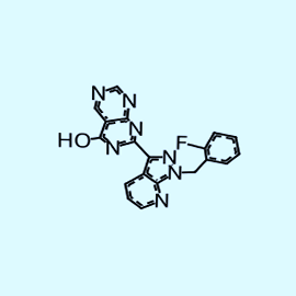 Oc1nc(-c2nn(Cc3ccccc3F)c3ncccc23)nc2ncncc12